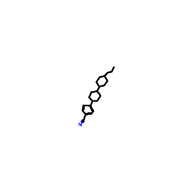 CCCC1CCC(C2CCC(c3ccc(C#N)cc3)CC2)CC1